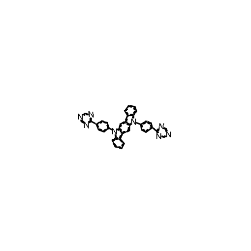 c1ccc2c(c1)c1cc3c(cc1n2-c1ccc(-c2ncncn2)cc1)c1ccccc1n3-c1ccc(-c2ncncn2)cc1